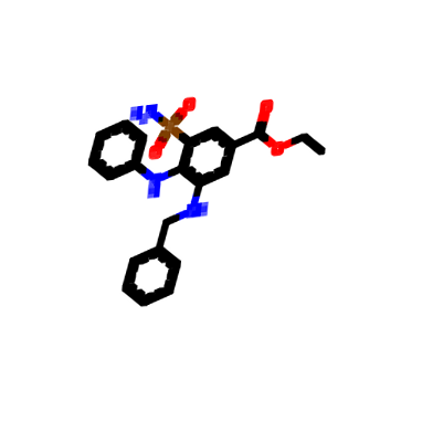 CCOC(=O)c1cc(NCc2ccccc2)c(Nc2ccccc2)c(S(N)(=O)=O)c1